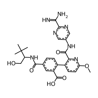 COc1ccc(-c2ccc(C(=O)NC(CO)C(C)(C)C)cc2C(=O)O)c(C(=O)Nc2cnc(C(=N)N)nc2)n1